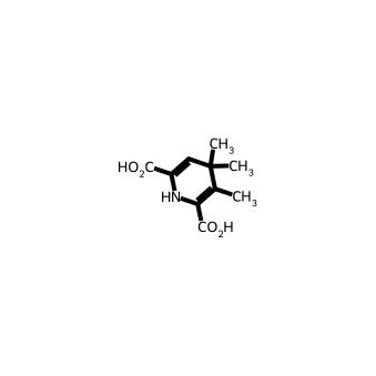 CC1=C(C(=O)O)NC(C(=O)O)=CC1(C)C